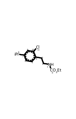 CCOC(=O)NCCc1ccc(C(C)C)cc1Cl